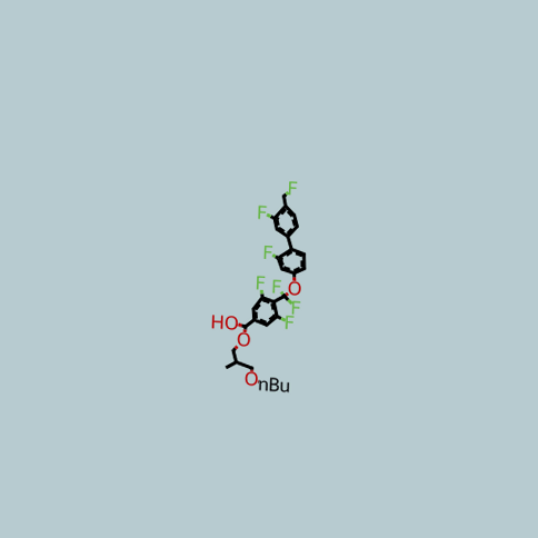 CCCCOCC(C)COC(O)c1cc(F)c(C(F)(F)Oc2ccc(-c3ccc(CF)c(F)c3)c(F)c2)c(F)c1